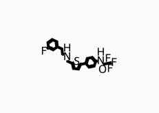 O=C(Nc1ccc(-c2ccc(CNCCc3cccc(F)c3)s2)cc1)C(F)(F)F